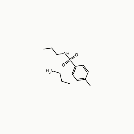 CCCN.CCCNS(=O)(=O)c1ccc(C)cc1